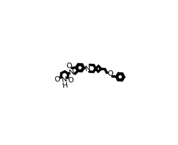 O=C1CCC(N2Cc3cc(N4CCC5(CC4)CC(CCOCc4ccccc4)C5)ccc3C2=O)C(=O)N1